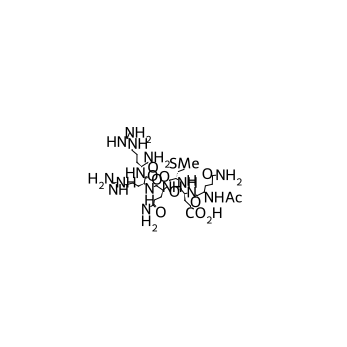 CSCC[C@H](NC(=O)[C@H](CCC(=O)O)NC(=O)[C@H](CCC(N)=O)NC(C)=O)C(=O)N[C@@H](CCC(N)=O)C(=O)N[C@@H](CCCNC(=N)N)C(=O)N[C@@H](CCCNC(=N)N)C(N)=O